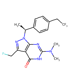 C[C@@H](c1ccc(CC(F)(F)F)cc1)n1nc(CF)c2c(=O)[nH]c(N(C)C)nc21